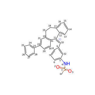 CS(=O)(=O)Nc1cccc(/C=C2/c3ccccc3CCc3cc(-c4ccccc4)ccc32)c1